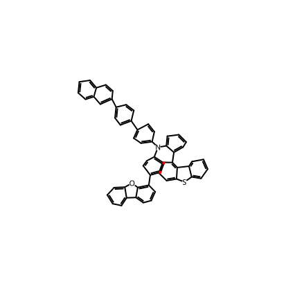 c1ccc(N(c2ccc(-c3ccc(-c4ccc5ccccc5c4)cc3)cc2)c2ccc(-c3cccc4c3oc3ccccc34)cc2)c(-c2cccc3sc4ccccc4c23)c1